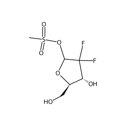 CS(=O)(=O)OC1O[C@H](CO)[C@@H](O)C1(F)F